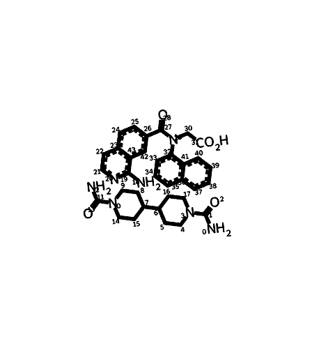 NC(=O)N1CCC(C2CCN(C(N)=O)CC2)CC1.Nc1nccc2ccc(C(=O)N(CC(=O)O)c3cccc4ccccc34)cc12